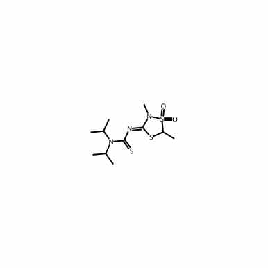 CC(C)N(C(=S)/N=C1\SC(C)S(=O)(=O)N1C)C(C)C